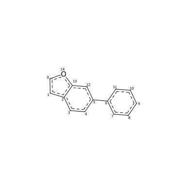 [c]1cc2ccc(-c3ccccc3)cc2o1